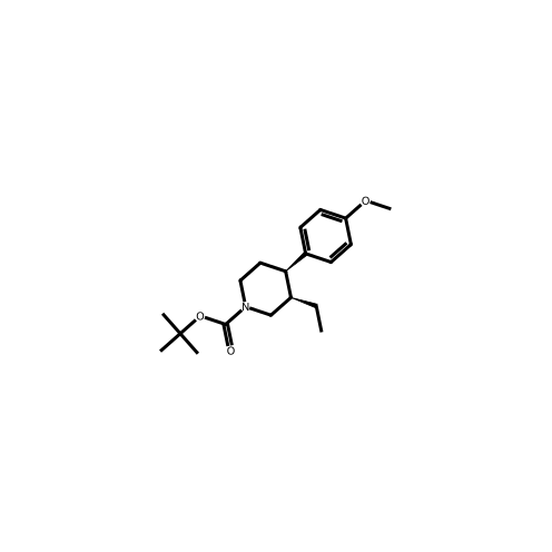 CC[C@H]1CN(C(=O)OC(C)(C)C)CC[C@H]1c1ccc(OC)cc1